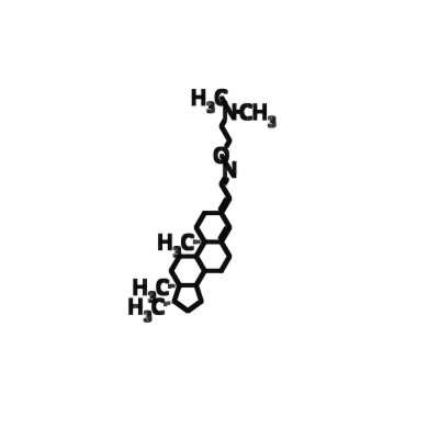 C[C@H]1CCC2C3CCC4=C/C(=C/C=NOCCN(C)C)CC[C@]4(C)C3CC[C@@]21C